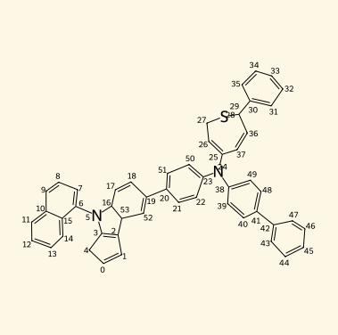 C1=CC2=C(C1)N(c1cccc3ccccc13)C1C=CC(c3ccc(N(C4=CCSC(c5ccccc5)C=C4)c4ccc(-c5ccccc5)cc4)cc3)=CC21